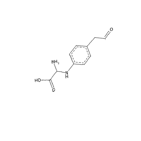 NC(Nc1ccc(C[C]=O)cc1)C(=O)O